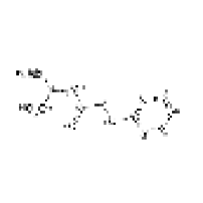 CCCCCCC(NC(=O)COc1ccccc1)C(=O)O